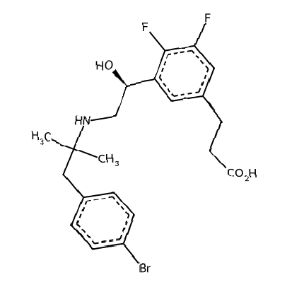 CC(C)(Cc1ccc(Br)cc1)NC[C@@H](O)c1cc(CCC(=O)O)cc(F)c1F